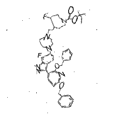 Cn1nc(-c2ccc(OCc3ccccc3)nc2OCc2ccccc2)c2ccc(N3CCN(CC4CCN(C(=O)OC(C)(C)C)CC4F)CC3)c(F)c21